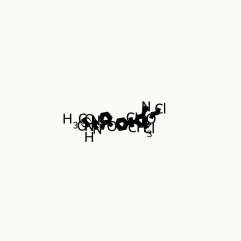 CC(C)(c1ccc(Oc2cccc3nc(NS(C)(=O)=O)ncc23)cc1)c1cc(Cl)c(OCCCl)c(C#N)c1